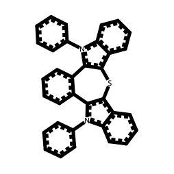 c1ccc(-n2c3c(c4ccccc42)Sc2c(n(-c4ccccc4)c4ccccc24)-c2ccccc2-3)cc1